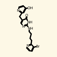 O=c1[nH]c(NCCCCc2ncccc2Br)ncc1Cc1cc(O)ccn1